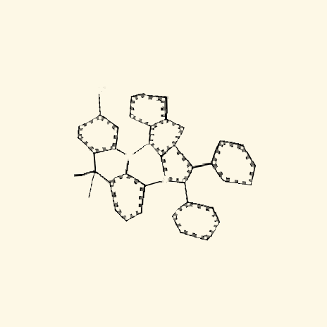 CC(C)(C)c1ccc2c(c1)B1c3c(cccc3C2(C)C)-n2c(-c3ccccc3)c(-c3ccccc3)c3cc4ccccc4c1c32